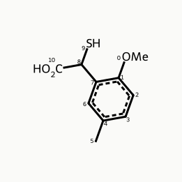 COc1ccc(C)cc1C(S)C(=O)O